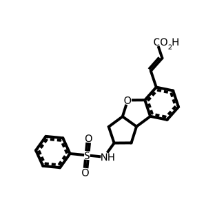 O=C(O)C=Cc1cccc2c1OC1CC(NS(=O)(=O)c3ccccc3)CC21